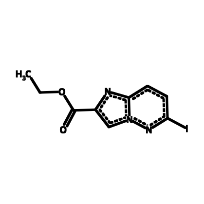 CCOC(=O)c1cn2nc(I)ccc2n1